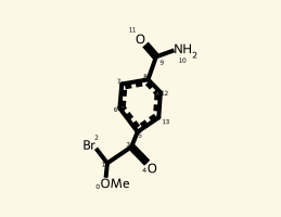 COC(Br)C(=O)c1ccc(C(N)=O)cc1